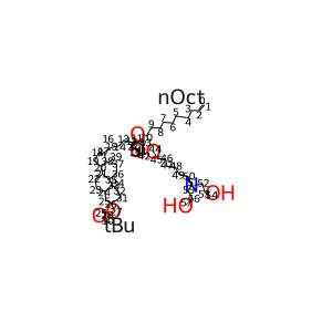 CCCCCCCC/C=C\CCCCCCCCOC(CC[C@@H](C)C1CCC2C3CCC4C[C@H](OC(=O)C(C)(C)C)CC[C@]4(C)C3CC[C@@]21C)O[Si](C)(C)OCCCCCCN(CCO)CCO